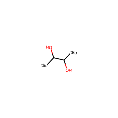 CC(C)(C)C(O)C(O)C(C)(C)C